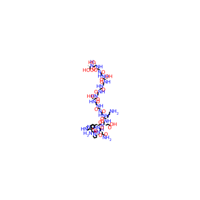 C[C@H](NC(=O)[C@H](CO)NC(=O)CNC(=O)CNC(=O)[C@H](CO)NC(=O)CNC(=O)CNC(=O)CNC(=O)[C@H](CO)NC(=O)CNC(=O)CNC(=O)CNC(=O)[C@H](CCCCN)NC(=O)[C@H](CCC(=O)O)NC(=O)[C@H](Cc1ccccc1)NC(=O)[C@H](CCC(N)=O)NC(=O)[C@@H]1CCCN1C(=O)[C@@H](N)Cc1c[nH]cn1)C(=O)O